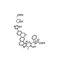 CCCN(C(=O)[C@H](NC(=O)OC)c1ccccc1)[C@@H](C)c1nc2ccc3cc4c(cc3c2[nH]1)OCc1cc(-c2cnc([C@@H]3C[C@H](COC)CN3)[nH]2)ccc1-4